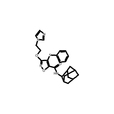 O=C(NC1C2CC3CC(C2)CC1C3)c1onc(OCCn2ccnc2)c1Sc1ccccc1